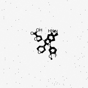 COc1cc(-n2c(C3CCOCC3)c([C@@H]3COC(C(=O)O)C3)c3cc4[nH]ncc4cc32)ccc1F